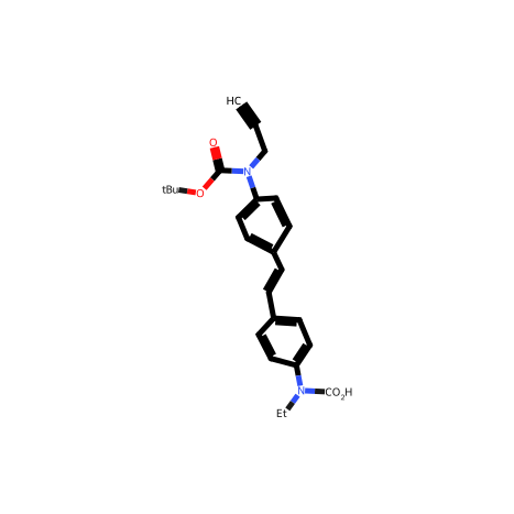 C#CCN(C(=O)OC(C)(C)C)c1ccc(C=Cc2ccc(N(CC)C(=O)O)cc2)cc1